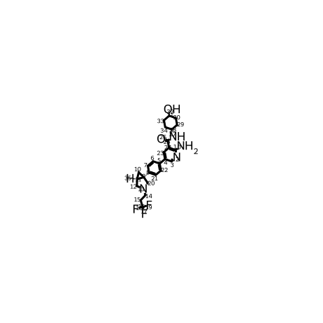 Nc1ncc(-c2ccc([C@@]34C[C@@H]3CN(CCC(F)(F)F)C4)cc2)cc1C(=O)N[C@H]1CC[C@H](O)CC1